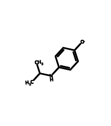 CC(C)Nc1ccc([O])cc1